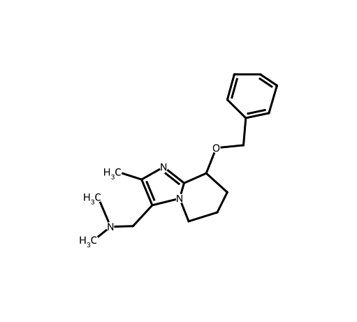 Cc1nc2n(c1CN(C)C)CCCC2OCc1ccccc1